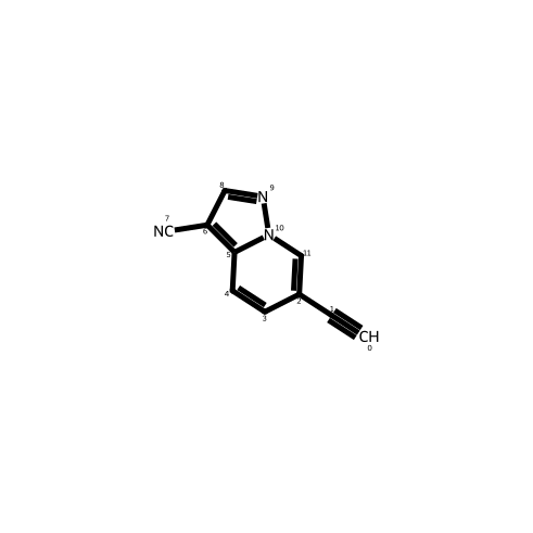 C#Cc1ccc2c(C#N)cnn2c1